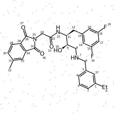 CCc1cccc(CNC[C@@H](O)[C@H](Cc2cc(F)cc(F)c2)NC(=O)CN2C(=O)c3ccc(C)cc3C2=O)c1